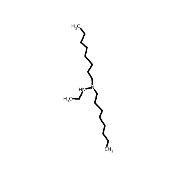 CCCCCCCCN(CCCCCCCC)NCC